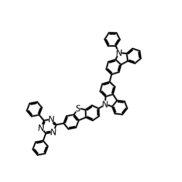 c1ccc(-c2nc(-c3ccccc3)nc(-c3ccc4c(c3)sc3cc(-n5c6ccccc6c6cc(-c7ccc8c(c7)c7ccccc7n8-c7ccccc7)ccc65)ccc34)n2)cc1